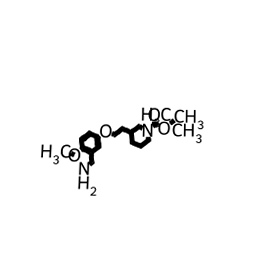 COc1ccc(OCCC2CCCN(C(=O)OC(C)(C)C)C2)cc1CN